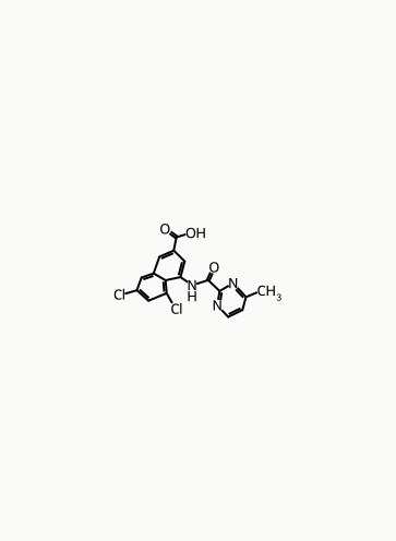 Cc1ccnc(C(=O)Nc2cc(C(=O)O)cc3cc(Cl)cc(Cl)c23)n1